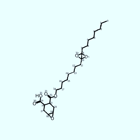 CCCCCCCCC12OC1(CCCCCCCCOC(=O)C1CC3OC3CC1C(=O)O)O2